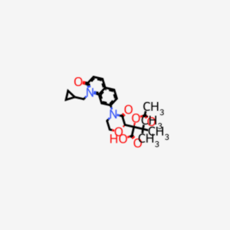 CC(=O)O[C@@](C(=O)O)([C@H]1OCCN(c2ccc3ccc(=O)n(CC4CC4)c3c2)C1=O)C(C)(C)C